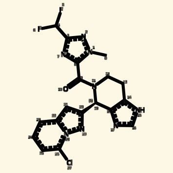 Cn1nc(C(F)F)nc1C(=O)N1CCc2[nH]cnc2[C@H]1c1cc2cccc(Cl)n2n1